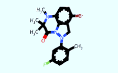 Cc1ccc(F)cc1N1Cc2c(Br)ccc3c2N1C(=O)C(C)(C)N3C